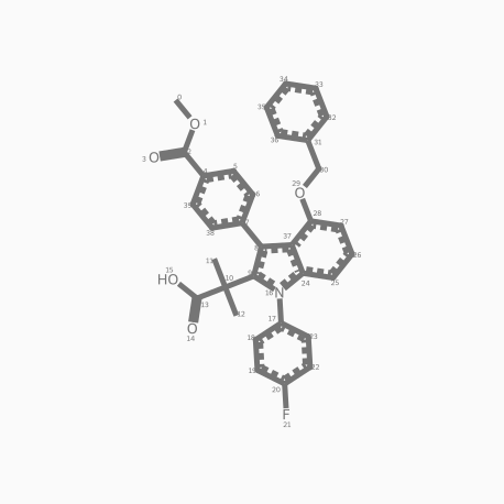 COC(=O)c1ccc(-c2c(C(C)(C)C(=O)O)n(-c3ccc(F)cc3)c3cccc(OCc4ccccc4)c23)cc1